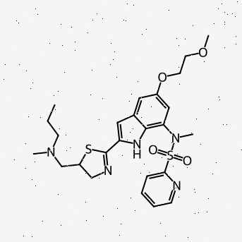 CCCN(C)CC1CN=C(c2cc3cc(OCCOC)cc(N(C)S(=O)(=O)c4ccccn4)c3[nH]2)S1